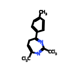 Cc1ccc(C2=NC(C(Cl)(Cl)Cl)=NC(C(Cl)(Cl)Cl)=CC2)cc1